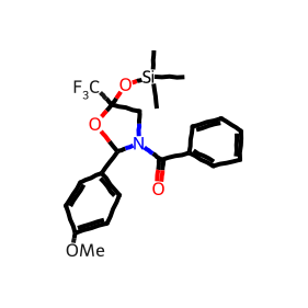 COc1ccc(C2OC(O[Si](C)(C)C)(C(F)(F)F)CN2C(=O)c2ccccc2)cc1